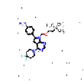 C[Si](C)(C)CCOCn1c(-c2ccc(N)cc2)cc2c(N3CCC(F)(F)CC3)ncnc21